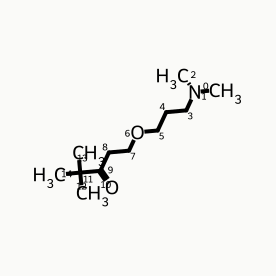 CN(C)CCCOCCC(=O)C(C)(C)C